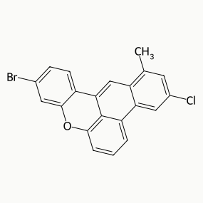 Cc1cc(Cl)cc2c1cc1c3c(cccc32)Oc2cc(Br)ccc2-1